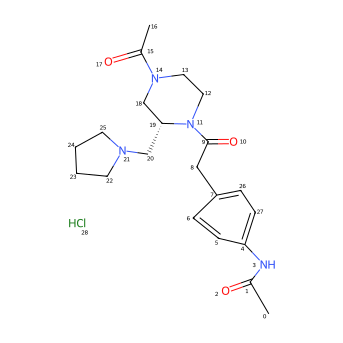 CC(=O)Nc1ccc(CC(=O)N2CCN(C(C)=O)C[C@H]2CN2CCCC2)cc1.Cl